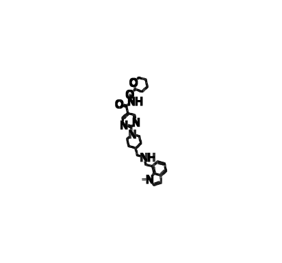 Cn1ccc2cccc(CNCC3CCN(c4ncc(C(=O)NOC5CCCCO5)cn4)CC3)c21